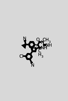 CN1C(=N)N[C@](C)(c2cc(-c3cc(Cl)cc(C#N)c3)cs2)[C@@H](c2ccc(C3(C#N)CC3)cc2)C1=O